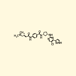 CN(C)C/C=C/C(=O)Nc1ccc(C(=O)N[C@@H]2CC[C@H](Nc3ncc(Cl)c(-c4cc[nH]n4)n3)C2)cc1